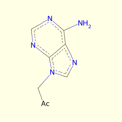 CC(=O)Cn1cnc2c(N)ncnc21